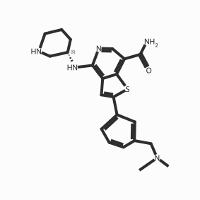 CN(C)Cc1cccc(-c2cc3c(N[C@H]4CCCNC4)ncc(C(N)=O)c3s2)c1